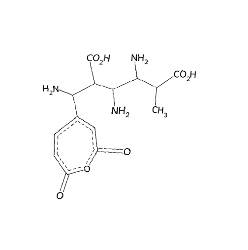 CC(C(=O)O)C(N)C(N)C(C(=O)O)C(N)c1ccc(=O)oc(=O)c1